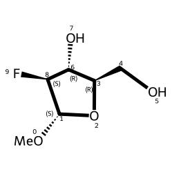 CO[C@H]1O[C@H](CO)[C@@H](O)[C@@H]1F